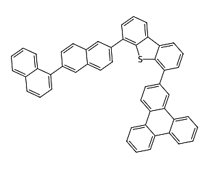 c1ccc2c(-c3ccc4cc(-c5cccc6c5sc5c(-c7ccc8c9ccccc9c9ccccc9c8c7)cccc56)ccc4c3)cccc2c1